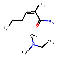 CCCC=C(C)C(N)=O.CCN(C)C